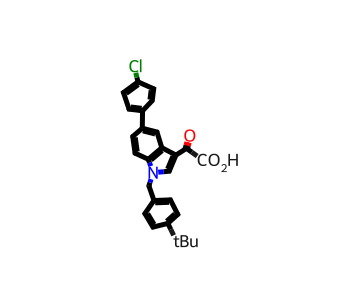 CC(C)(C)c1ccc(Cn2cc(C(=O)C(=O)O)c3cc(-c4ccc(Cl)cc4)ccc32)cc1